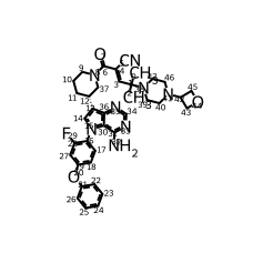 CC(C)(C=C(C#N)C(=O)N1CCC[C@@H](c2cn(-c3ccc(Oc4ccccc4)cc3F)c3c(N)ncnc23)C1)N1CCN(C2COC2)CC1